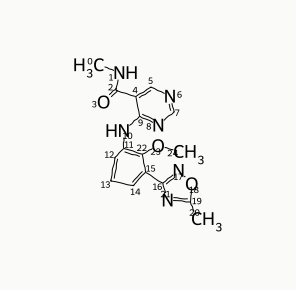 CNC(=O)c1cncnc1Nc1cccc(-c2noc(C)n2)c1OC